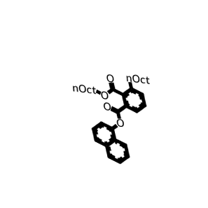 CCCCCCCCOC(=O)c1c(CCCCCCCC)cccc1C(=O)Oc1cccc2ccccc12